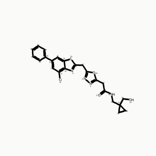 O=C(Cc1nnc(Cc2nc3c(Cl)cc(-c4ccccc4)cc3s2)o1)NCC1(CO)CC1